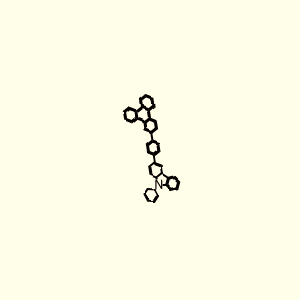 C1=CCC(N2c3ccccc3C3C=C(c4ccc(-c5ccc6c7ccccc7c7ccccc7c6c5)cc4)C=CC32)C=C1